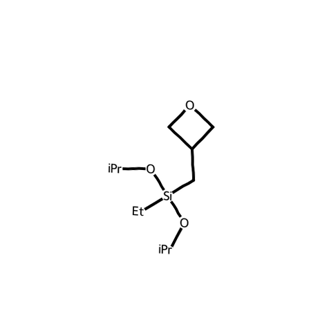 CC[Si](CC1COC1)(OC(C)C)OC(C)C